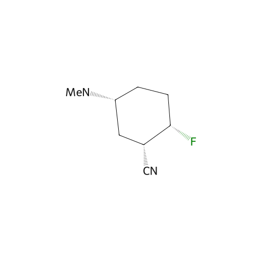 CN[C@@H]1CC[C@H](F)[C@H](C#N)C1